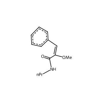 [CH2]CCNC(=O)C(=Cc1ccccc1)OC